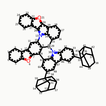 c1ccc2c(c1)oc1c3c4c(cc12)-n1c2c(cccc2c2oc5ccccc5c21)B4n1c2ccc(C45CC6CC(CC(C6)C4)C5)cc2c2cc(C45CC6CC(CC(C6)C4)C5)cc-3c21